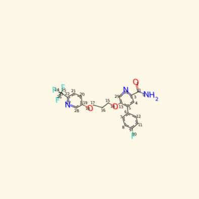 NC(=O)c1cc(-c2ccc(F)cc2)c(OCCCOc2ccc(C(F)(F)F)nc2)cn1